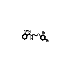 Brc1ccc(OCCNc2ncnc3ccccc23)c(Br)c1